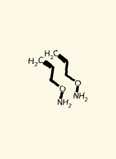 C=CCON.C=CCON